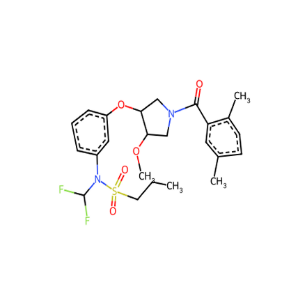 CCCS(=O)(=O)N(c1cccc(OC2CN(C(=O)c3cc(C)ccc3C)CC2OC)c1)C(F)F